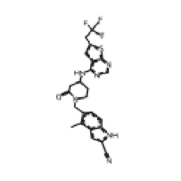 Cc1c(CN2CCC(Nc3ncnc4sc(CC(F)(F)F)cc34)CC2=O)ccc2[nH]c(C#N)cc12